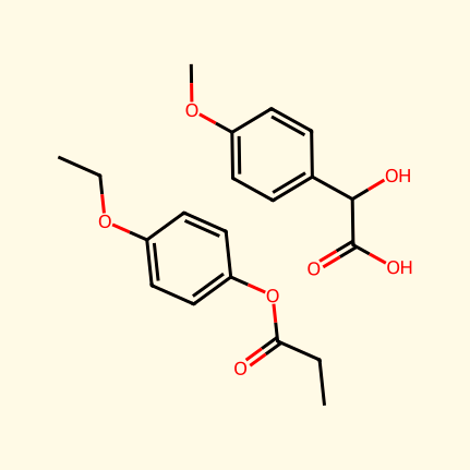 CCOc1ccc(OC(=O)CC)cc1.COc1ccc(C(O)C(=O)O)cc1